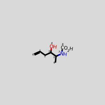 C=CCC(O)C(C)NC(=O)O